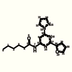 CCCCCC(=O)Nc1cc(-n2cccn2)nc(-c2ccco2)n1